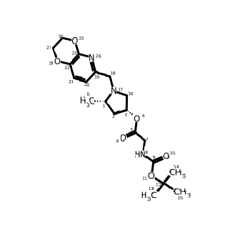 C[C@H]1C[C@@H](OC(=O)CNC(=O)OC(C)(C)C)CN1Cc1ccc2c(n1)OCCO2